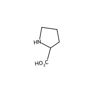 O=[13C](O)C1CCCN1